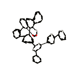 c1ccc(-c2cc(-c3ccc(-c4cccnc4)nc3)nc(-c3ccc4c(c3)C3(c5ccccc5Sc5c3ccc3ccccc53)c3ccccc3-c3ccccc3-4)n2)cc1